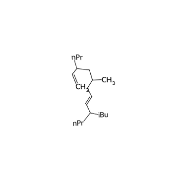 C=CC(CCC)CC(C)CC=CC(CCC)C(C)CC